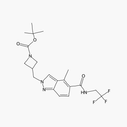 Cc1c(C(=O)NCC(F)(F)F)ccc2nn(CC3CN(C(=O)OC(C)(C)C)C3)cc12